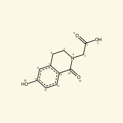 O=C(O)CN1CCc2cc(O)ccc2C1=O